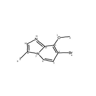 COc1c(Br)ccn2c(I)cnc12